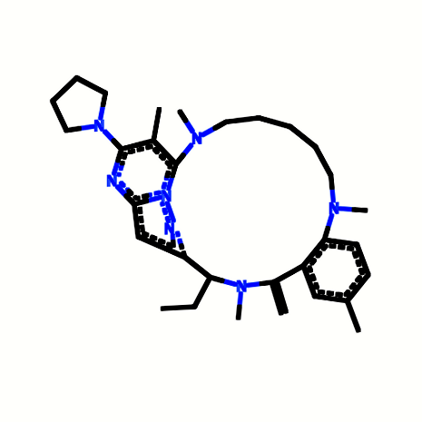 C=C1c2cc(C)ccc2N(C)CCCCCN(C)c2c(C)c(N3CCCC3)nc3cc(nn23)C(CC)N1C